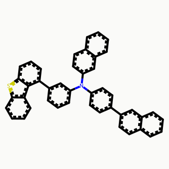 c1cc(-c2cccc3sc4ccccc4c23)cc(N(c2ccc(-c3ccc4ccccc4c3)cc2)c2ccc3ccccc3c2)c1